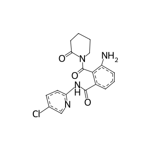 Nc1cccc(C(=O)Nc2ccc(Cl)cn2)c1C(=O)N1CCCCC1=O